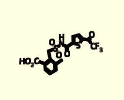 Cc1cccc(C(=O)O)c1CS(=O)(=O)NC(=O)c1ccc(C(=O)C(F)(F)F)s1